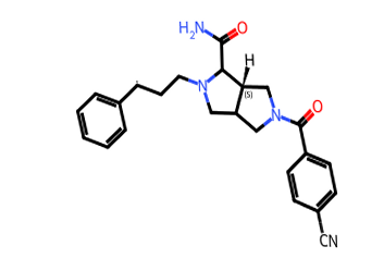 N#Cc1ccc(C(=O)N2CC3CN(CC[CH]c4ccccc4)C(C(N)=O)[C@@H]3C2)cc1